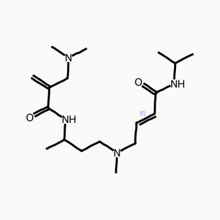 C=C(CN(C)C)C(=O)NC(C)CCN(C)C/C=C/C(=O)NC(C)C